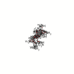 C[C@@H](O)[C@H](NC(=O)[C@H](CCN)NC(=O)[C@H](CCCNC(=N)N)NC(=O)[C@H](CC(N)=O)NC(=O)[C@H](CS)NC(=O)[C@@H](N)Cc1ccc(O)cc1)C(=O)N[C@H](CCN)C(=O)N[C@@H](CCCCN)C(=O)N[C@H](C(=O)N[C@@H](CCN)C(=O)N[C@@H](CCCNC(=N)N)C(=O)N[C@@H](Cc1ccc(O)cc1)C(=O)O)C(C)(C)S